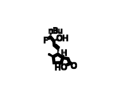 CCCC[C@@H](F)[C@H](O)/C=C/[C@@H]1[C@H]2CC(=O)O[C@H]2C[C@H]1C